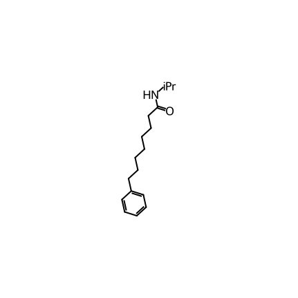 CC(C)NC(=O)CCCCCCCc1ccccc1